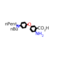 CCCCCN(CCCC)c1ccc(Oc2ccc(N)c(C(=O)O)c2)cc1